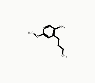 CCCCc1cc(OC)ncc1N